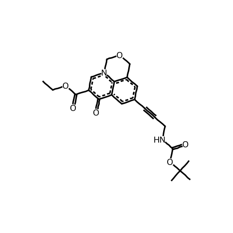 CCOC(=O)c1cn2c3c(cc(C#CCNC(=O)OC(C)(C)C)cc3c1=O)COC2